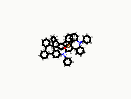 c1ccc(N(c2ccc3c(c2)-c2ccccc2N(c2ccccc2)c2ccccc2-3)c2ccc3c(c2)C2(c4ccccc4-c4ccccc4-3)c3ccccc3-c3c2ccc2sc4ccccc4c32)cc1